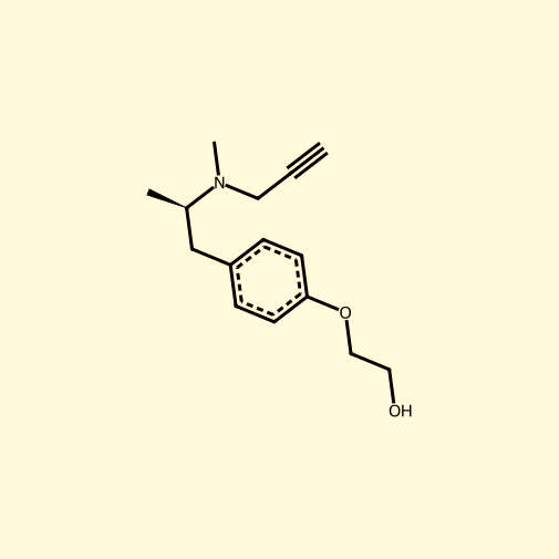 C#CCN(C)[C@H](C)Cc1ccc(OCCO)cc1